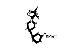 CCCC(C)Oc1cccc(C=C2CCN(c3onc(C)c3C)CC2)c1